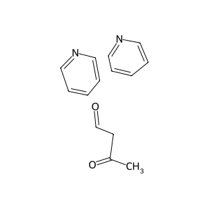 CC(=O)CC=O.c1ccncc1.c1ccncc1